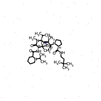 C/C(=C\[C@H](C(C)C)N(C)C(=O)[C@@H](NC(=O)C1CCCCN1C(C)C)C(C)(C)C)C(=O)N1CCC[C@H]1C(=O)NCCC(C)(C)C